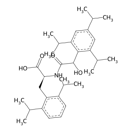 CC(C)c1cc(C(C)C)c(C(O)C(=O)N[C@@H](Cc2c(C(C)C)cccc2C(C)C)C(=O)O)c(C(C)C)c1